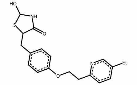 CCc1ccc(CCOc2ccc(CC3SC(O)NC3=O)cc2)nc1